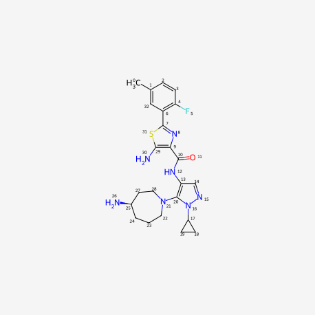 Cc1ccc(F)c(-c2nc(C(=O)Nc3cnn(C4CC4)c3N3CCC[C@@H](N)CC3)c(N)s2)c1